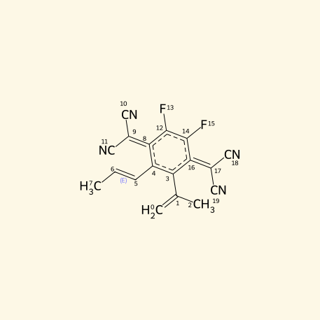 C=C(C)c1c(/C=C/C)c(=C(C#N)C#N)c(F)c(F)c1=C(C#N)C#N